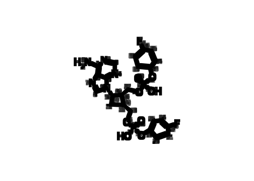 Nc1ncnc2c1ncn2[C@@H]1C[C@H](COP(=O)(O)Oc2ccc(F)cc2)[C@@H]1COP(=O)(O)Oc1ccc(F)cc1